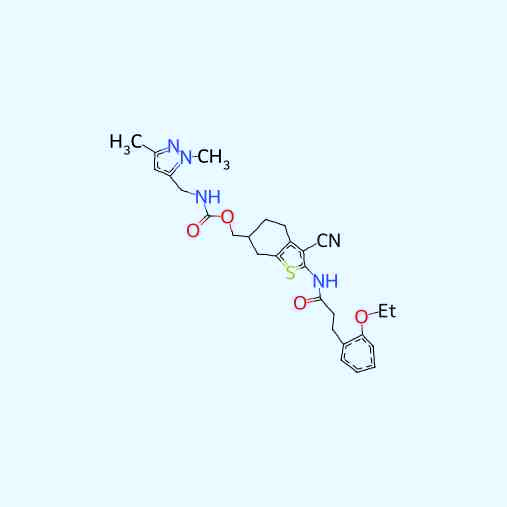 CCOc1ccccc1CCC(=O)Nc1sc2c(c1C#N)CCC(COC(=O)NCc1cc(C)nn1C)C2